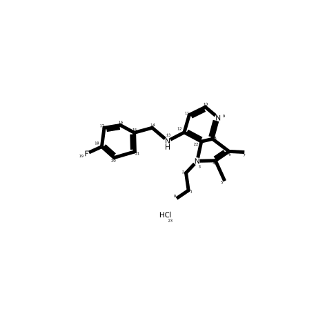 CCCn1c(C)c(C)c2nccc(NCc3ccc(F)cc3)c21.Cl